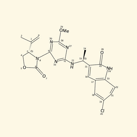 C=C(C)[C@H]1COC(=O)N1c1nc(N[C@@H](C)c2cc3cc(Cl)ccc3[nH]c2=O)nc(OC)n1